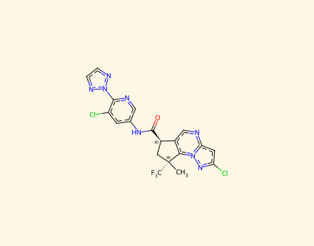 C[C@@]1(C(F)(F)F)C[C@@H](C(=O)Nc2cnc(-n3nccn3)c(Cl)c2)c2cnc3cc(Cl)nn3c21